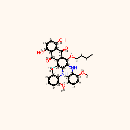 CCCCOc1c(Nc2c(C)cccc2OC)c(Nc2c(C)cccc2OC)c(F)c2c1C(=O)c1c(O)ccc(O)c1C2=O